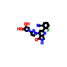 N#Cc1cccc(F)c1-c1cc(-n2ccc(N3C[C@@H](O)[C@@H](O)C3)n2)c2c(n1)CNC2=O